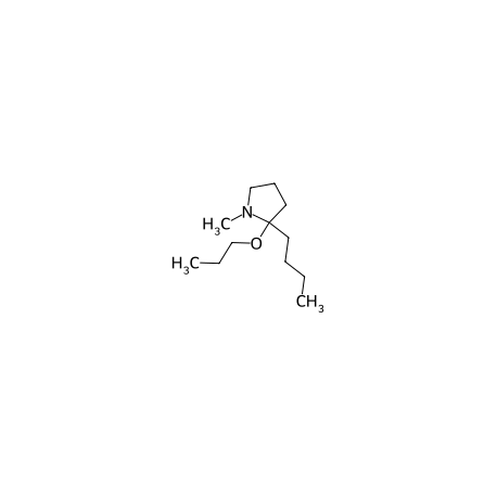 CCCCC1(OCCC)CCCN1C